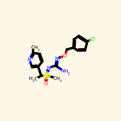 Cc1ccc(C(C)S(C)(=O)=N/C(N)=N/OCc2ccc(Cl)cc2)cn1